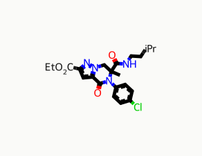 CCOC(=O)c1cc2n(n1)CC(C)(C(=O)NCCC(C)C)N(c1ccc(Cl)cc1)C2=O